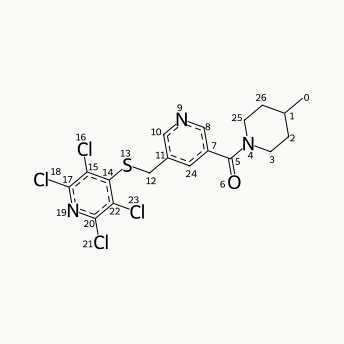 CC1CCN(C(=O)c2cncc(CSc3c(Cl)c(Cl)nc(Cl)c3Cl)c2)CC1